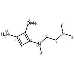 COC1=C(N(C)CCN(C)C)C=C1N